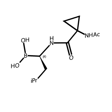 CC(=O)NC1(C(=O)N[C@@H](CC(C)C)B(O)O)CC1